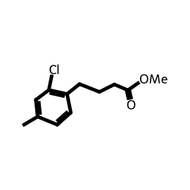 COC(=O)CCCc1ccc(C)cc1Cl